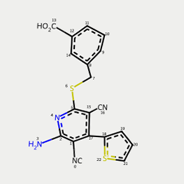 [C-]#[N+]c1c(N)nc(SCc2cccc(C(=O)O)c2)c(C#N)c1-c1cccs1